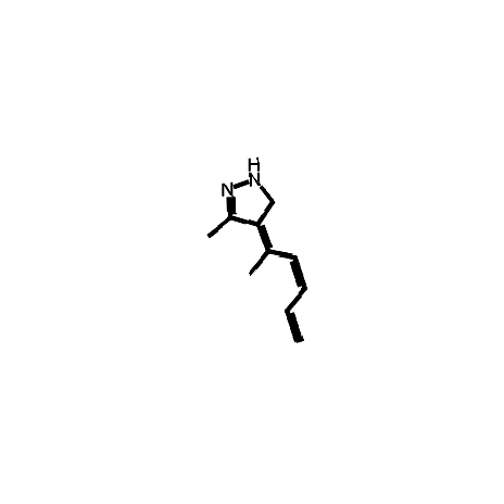 C=C/C=C\C(C)=C1/CNN=C1C